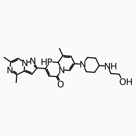 CC1=CC(N2CCC(NCCO)CC2)=CN2C(=O)C=C(c3cc4c(C)nc(C)cn4n3)PC12